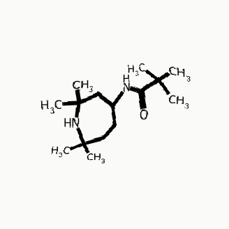 CC1(C)CCC(NC(=O)C(C)(C)C)CC(C)(C)N1